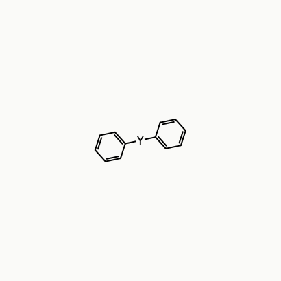 c1cc[c]([Y][c]2ccccc2)cc1